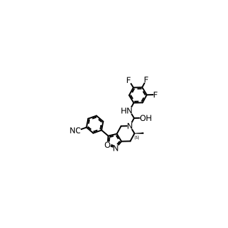 C[C@H]1Cc2noc(-c3cccc(C#N)c3)c2CN1C(O)Nc1cc(F)c(F)c(F)c1